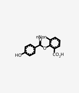 CCCCCCCCCc1cccc(C(=O)O)c1OC(=O)c1ccc(O)cc1